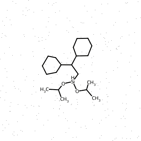 CC(C)O[SiH](CC(C1CCCCC1)C1CCCCC1)OC(C)C